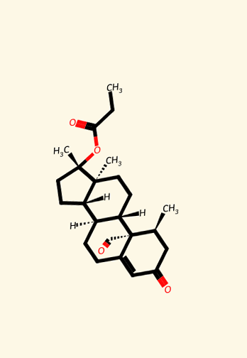 CCC(=O)O[C@@]1(C)CC[C@H]2[C@@H]3CCC4=CC(=O)C[C@H](C)[C@]4(C=O)[C@H]3CC[C@@]21C